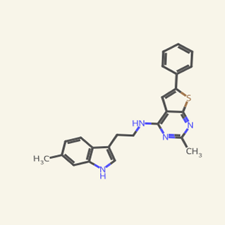 Cc1ccc2c(CCNc3nc(C)nc4sc(-c5ccccc5)cc34)c[nH]c2c1